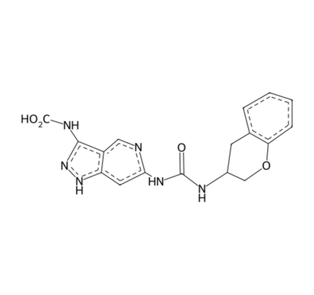 O=C(O)Nc1n[nH]c2cc(NC(=O)NC3COc4ccccc4C3)ncc12